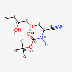 CCC(O)COCC(C#N)N(C)C(=O)OC(C)(C)C